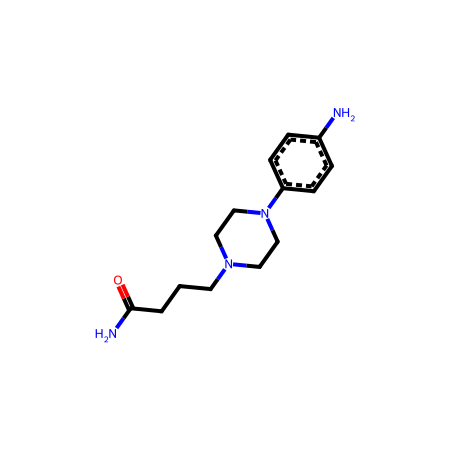 NC(=O)CCCN1CCN(c2ccc(N)cc2)CC1